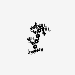 CCC(C)OCCC(C)(N)N(c1ccc(N(c2ccc(Cc3ccc(N(c4ccc(N(C(C)(C)CCOC(C)N)C(C)(C)COC(C)C)cc4)C(C)(C)CCOC(C)N)cc3)cc2)C(C)(C)CCOC(C)N)cc1)C(C)(N)CCOC(C)C